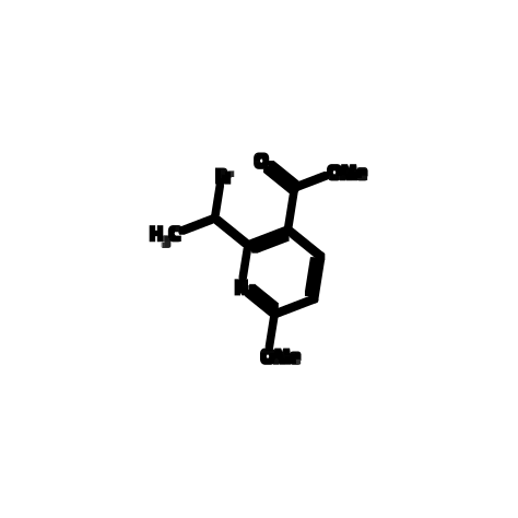 COC(=O)c1ccc(OC)nc1C(C)Br